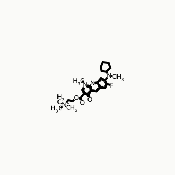 CN(c1cc2nc3c(cc2cc1F)c(=O)c(C(=O)OCC[N+](C)(C)C)cn3C)C1CCCCC1